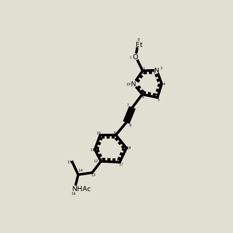 CCOc1nccc(C#Cc2ccc(CC(C)NC(C)=O)cc2)n1